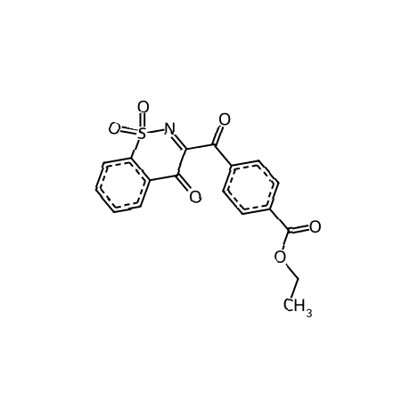 CCOC(=O)c1ccc(C(=O)C2=NS(=O)(=O)c3ccccc3C2=O)cc1